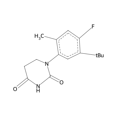 Cc1cc(F)c(C(C)(C)C)cc1N1CCC(=O)NC1=O